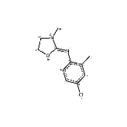 Cc1cc(Cl)ccc1N=C1OCCN1C